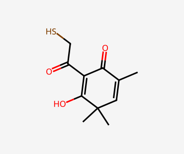 CC1=CC(C)(C)C(O)=C(C(=O)CS)C1=O